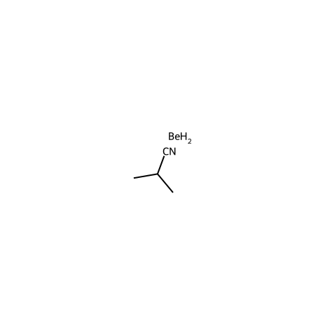 CC(C)C#N.[BeH2]